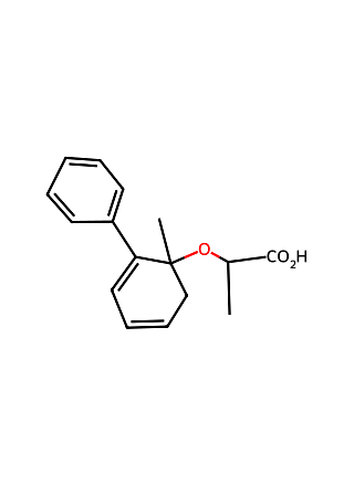 CC(OC1(C)CC=CC=C1c1ccccc1)C(=O)O